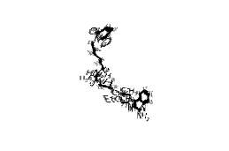 CCOCc1nc2c(N)nc3ccccc3c2n1CC(C)(C)OCCNC(=O)C(C)(C)NC(=O)CCCCCN1C(=O)C=CC1=O